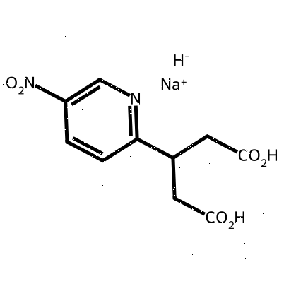 O=C(O)CC(CC(=O)O)c1ccc([N+](=O)[O-])cn1.[H-].[Na+]